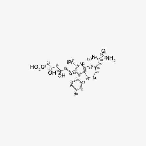 CC(C)c1nc2c(c(-c3ccc(F)cc3)c1/C=C/[C@@H](O)C[C@@H](O)CC(=O)O)CCCc1cc(C(N)=O)ncc1-2